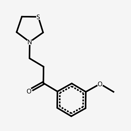 COc1cccc(C(=O)CCN2CCSC2)c1